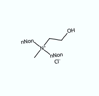 CCCCCCCCC[N+](C)(CCO)CCCCCCCCC.[Cl-]